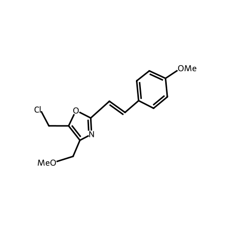 COCc1nc(C=Cc2ccc(OC)cc2)oc1CCl